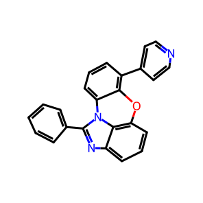 c1ccc(-c2nc3cccc4c3n2-c2cccc(-c3ccncc3)c2O4)cc1